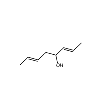 CC=CCC(O)C=CC